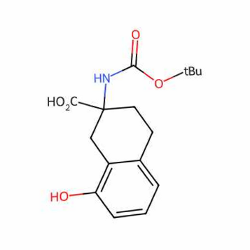 CC(C)(C)OC(=O)NC1(C(=O)O)CCc2cccc(O)c2C1